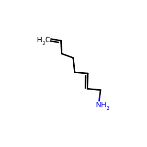 C=CCCCC=CCN